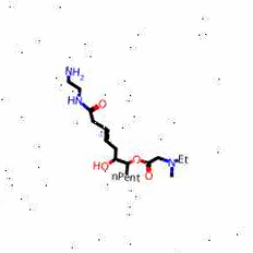 CCCCCC(OC(=O)CN(C)CC)C(O)C/C=C/CC(=O)NCCN